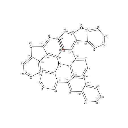 c1ccc(N(c2ccccc2-c2cccc3oc4ccccc4c23)c2cccc3oc4ccccc4c23)c(-c2ccc3ccccc3c2)c1